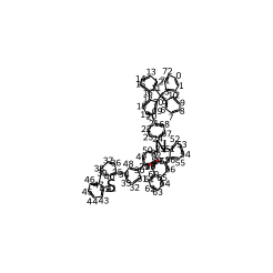 c1ccc(C2(c3ccccc3)c3ccccc3-c3ccc(-c4ccc(N(c5ccc(-c6cccc(-c7cccc8c7sc7ccccc78)c6)cc5)c5ccccc5-c5ccc6ccccc6c5)cc4)cc32)cc1